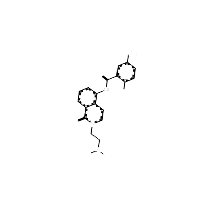 Cc1ccc(C)c(C(=O)Nc2cccc3c(=O)n(CCN(C)C)ccc23)c1